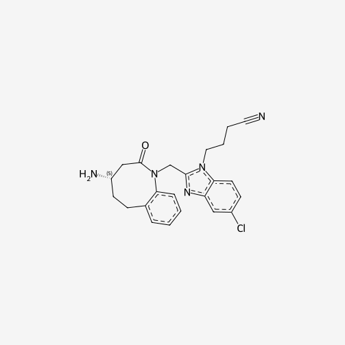 N#CCCCn1c(CN2C(=O)C[C@@H](N)CCc3ccccc32)nc2cc(Cl)ccc21